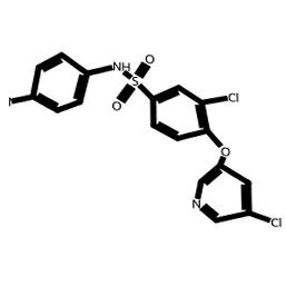 O=S(=O)(Nc1ccc(I)cc1)c1ccc(Oc2cncc(Cl)c2)c(Cl)c1